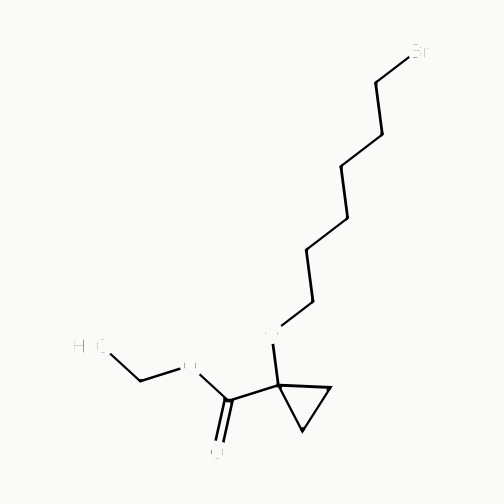 CCOC(=O)C1(OCCCCCCBr)CC1